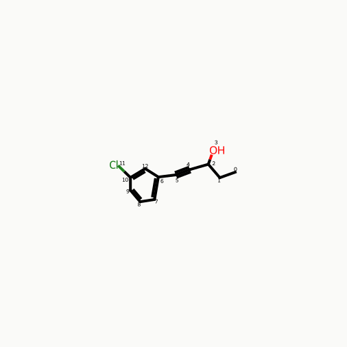 CCC(O)C#Cc1cccc(Cl)c1